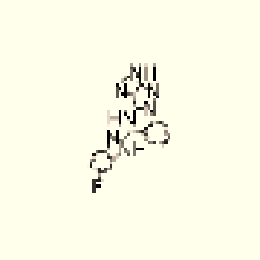 Fc1ccc2nc(C(Nc3ncnc4[nH]cnc34)c3ccccc3)[nH]c2c1